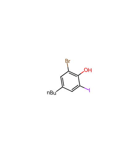 CCCCc1cc(Br)c(O)c(I)c1